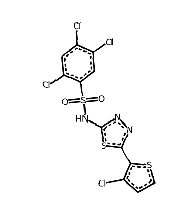 O=S(=O)(Nc1nnc(-c2sccc2Cl)s1)c1cc(Cl)c(Cl)cc1Cl